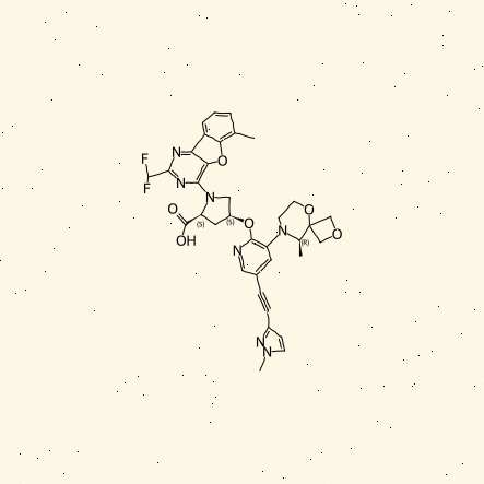 Cc1cccc2c1oc1c(N3C[C@@H](Oc4ncc(C#Cc5ccn(C)n5)cc4N4CCOC5(COC5)[C@H]4C)C[C@H]3C(=O)O)nc(C(F)F)nc12